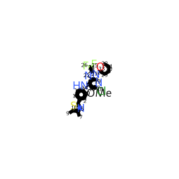 COc1cc(-c2nc(C)c(C)s2)ccc1Nc1cc(Cl)nc2c1nc(C(F)F)n2C1CCCCO1